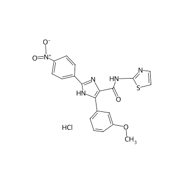 COc1cccc(-c2[nH]c(-c3ccc([N+](=O)[O-])cc3)nc2C(=O)Nc2nccs2)c1.Cl